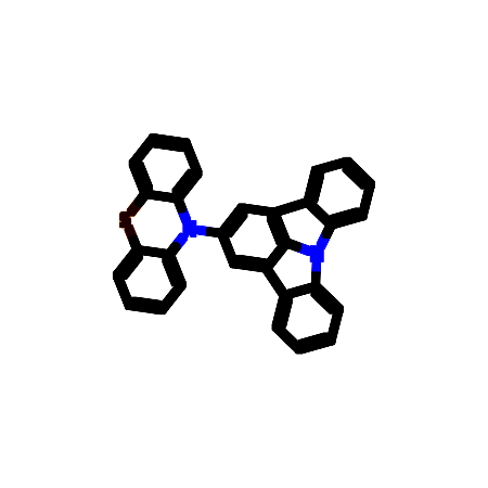 c1ccc2c(c1)Sc1ccccc1N2c1cc2c3ccccc3n3c4ccccc4c(c1)c23